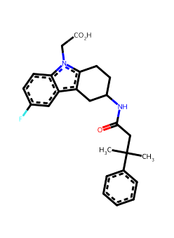 CC(C)(CC(=O)NC1CCc2c(c3cc(F)ccc3n2CC(=O)O)C1)c1ccccc1